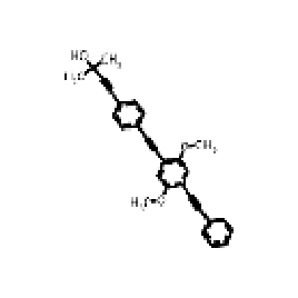 COc1cc(C#Cc2ccc(C#CC(C)(C)O)cc2)c(OC)cc1C#Cc1ccccc1